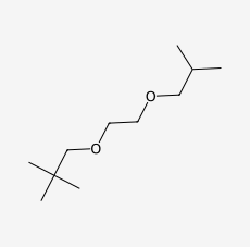 CC(C)COCCOCC(C)(C)C